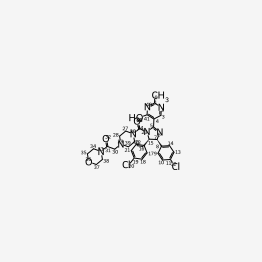 Cc1ncc(C2=N[C@@H](c3ccc(Cl)cc3)[C@@H](c3ccc(Cl)cc3)N2C(=O)N2CCN(CC(=O)N3CCOCC3)CC2)c(O)n1